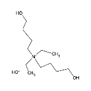 CC[N+](CC)(CCCCO)CCCCO.[OH-]